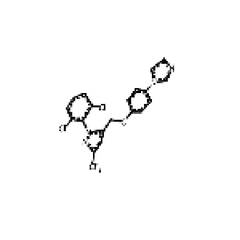 FC(F)(F)c1cc(COc2ccc(-n3ccnc3)cc2)n(-c2c(Cl)cccc2Cl)n1